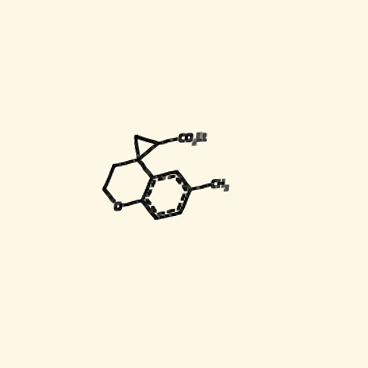 CCOC(=O)C1CC12CCOc1ccc(C)cc12